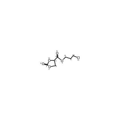 O=C1OCC(C(=O)OCCCCl)O1